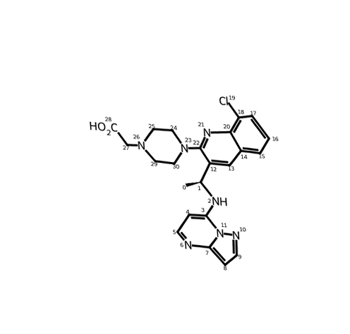 C[C@H](Nc1ccnc2ccnn12)c1cc2cccc(Cl)c2nc1N1CCN(CC(=O)O)CC1